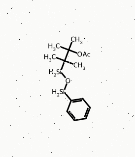 CC(=O)OC(C)(C)C(C)(C)[SiH2]O[SiH2]c1ccccc1